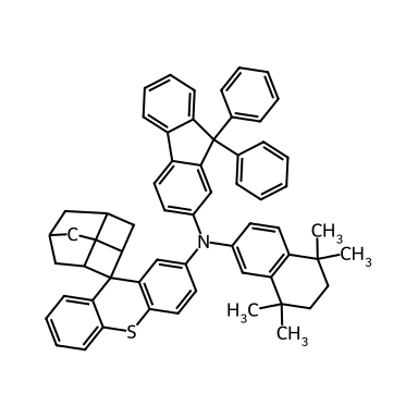 CC1(C)CCC(C)(C)c2cc(N(c3ccc4c(c3)C(c3ccccc3)(c3ccccc3)c3ccccc3-4)c3ccc4c(c3)C3(c5ccccc5S4)C4CC5CC6CC3C64C5)ccc21